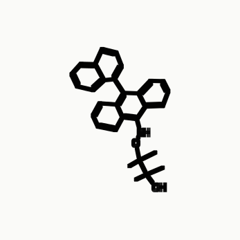 CC(C)(O)C(C)(C)OBc1c2ccccc2c(-c2cccc3ccccc23)c2ccccc12